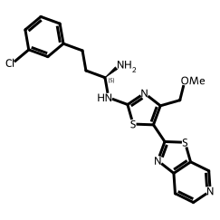 COCc1nc(N[C@H](N)CCc2cccc(Cl)c2)sc1-c1nc2ccncc2s1